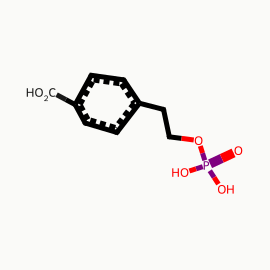 O=C(O)c1ccc(CCOP(=O)(O)O)cc1